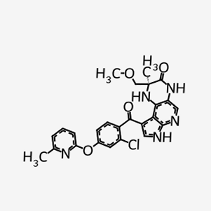 COC[C@]1(C)Nc2c(cnc3[nH]cc(C(=O)c4ccc(Oc5cccc(C)n5)cc4Cl)c23)NC1=O